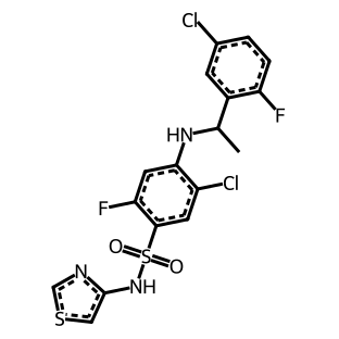 CC(Nc1cc(F)c(S(=O)(=O)Nc2cscn2)cc1Cl)c1cc(Cl)ccc1F